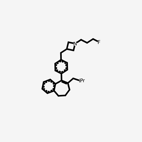 CC(C)CC1=C(c2ccc(CC3CN(CCCF)C3)cc2)c2ccccc2CCC1